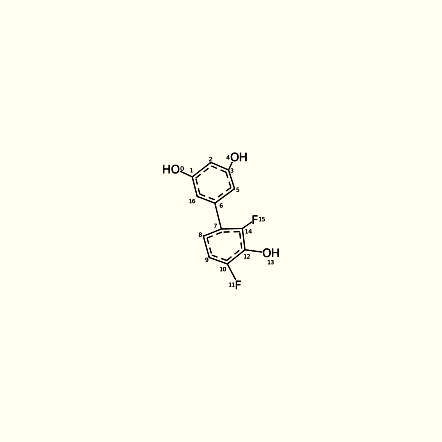 Oc1cc(O)cc(-c2ccc(F)c(O)c2F)c1